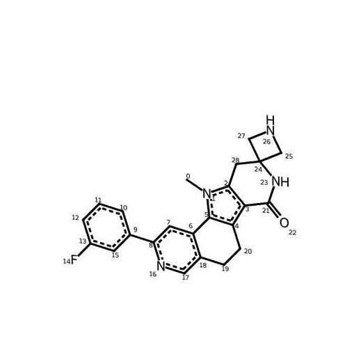 Cn1c2c(c3c1-c1cc(-c4cccc(F)c4)ncc1CC3)C(=O)NC1(CNC1)C2